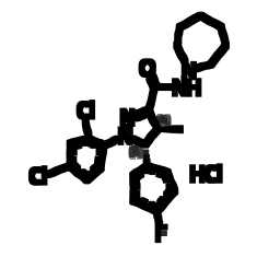 C[C@@H]1C(C(=O)NN2CCCCCC2)=NN(c2ccc(Cl)cc2Cl)[C@H]1c1ccc(F)cc1.Cl